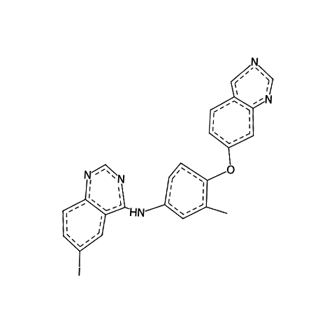 Cc1cc(Nc2ncnc3ccc(I)cc23)ccc1Oc1ccc2cncnc2c1